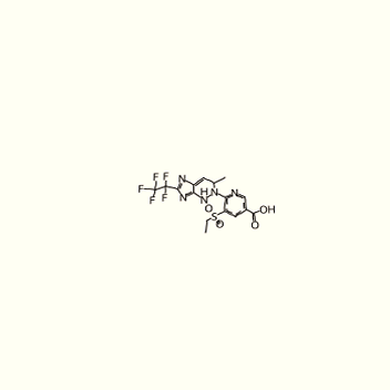 CCS(=O)(=O)c1cc(C(=O)O)cnc1N1NC2=NC(C(F)(F)C(F)(F)F)=NC2=CC1C